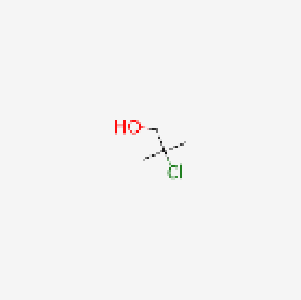 CC(C)(Cl)CO